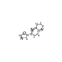 c1cnc2ccc(-c3cnco3)nc2c1